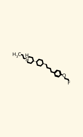 CCC[SiH]1CCC([C@H]2CC[C@H](CCCCc3ccc(OCCF)cc3)CC2)CC1